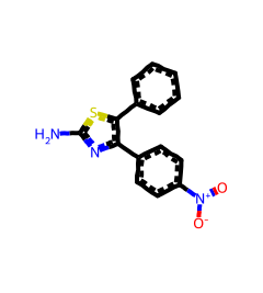 Nc1nc(-c2ccc([N+](=O)[O-])cc2)c(-c2ccccc2)s1